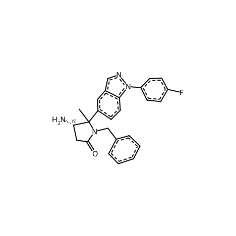 CC1(c2ccc3c(cnn3-c3ccc(F)cc3)c2)[C@@H](N)CC(=O)N1Cc1ccccc1